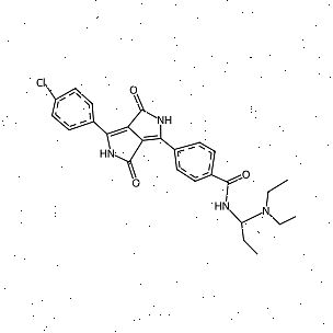 CCC(NC(=O)c1ccc(C2=C3C(=O)NC(c4ccc(Cl)cc4)=C3C(=O)N2)cc1)N(CC)CC